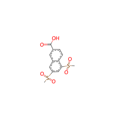 CS(=O)(=O)c1cc(S(C)(=O)=O)c2ccc(C(=O)O)cc2c1